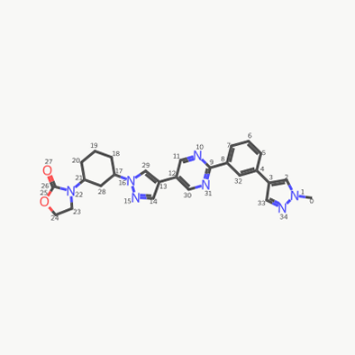 Cn1cc(-c2cccc(-c3ncc(-c4cnn(C5CCCC(N6CCOC6=O)C5)c4)cn3)c2)cn1